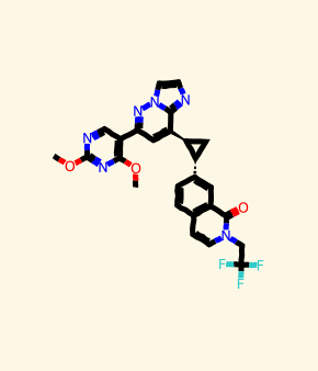 COc1ncc(-c2cc([C@H]3C[C@@H]3c3ccc4ccn(CC(F)(F)F)c(=O)c4c3)c3nccn3n2)c(OC)n1